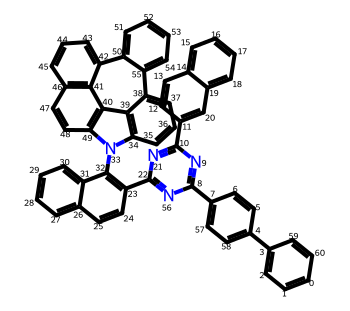 c1ccc(-c2ccc(-c3nc(-c4ccc5ccccc5c4)nc(-c4ccc5ccccc5c4-n4c5cccc6c5c5c7c(cccc7ccc54)-c4ccccc4-6)n3)cc2)cc1